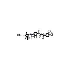 Cc1[nH]c(/C=C2\C(=O)Nc3cc(NC(=O)NC(=O)c4ccc(Cl)c(C(F)(F)F)c4)ccc32)c(C)c1C(=O)O